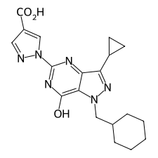 O=C(O)c1cnn(-c2nc(O)c3c(n2)c(C2CC2)nn3CC2CCCCC2)c1